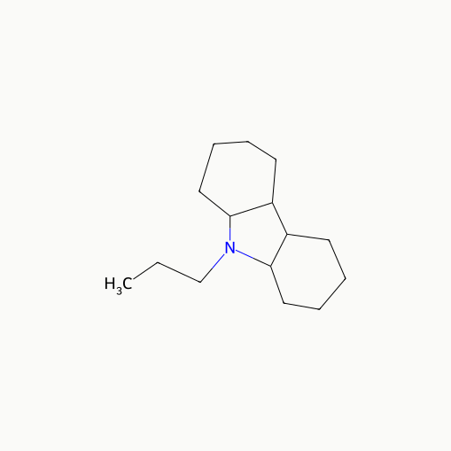 CCCN1C2CCCCC2C2CCCCC21